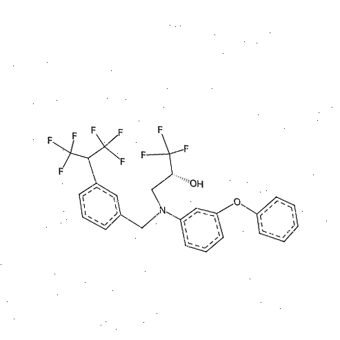 O[C@H](CN(Cc1cccc(C(C(F)(F)F)C(F)(F)F)c1)c1cccc(Oc2ccccc2)c1)C(F)(F)F